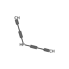 C#CC#CPC#CC#C